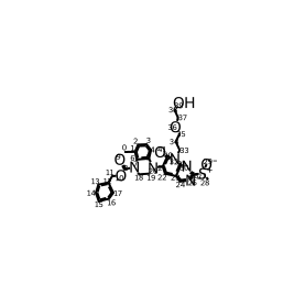 Cc1cccc2c1N(C(=O)OCc1ccccc1)CCN2c1cc2cnc([S+](C)[O-])nc2n(CCCOCCO)c1=O